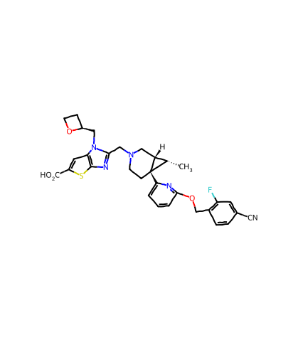 C[C@H]1[C@H]2CN(Cc3nc4sc(C(=O)O)cc4n3C[C@@H]3CCO3)CC[C@]21c1cccc(OCc2ccc(C#N)cc2F)n1